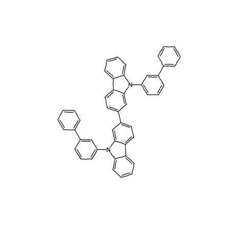 c1ccc(-c2cccc(-n3c4ccccc4c4ccc(-c5ccc6c7ccccc7n(-c7cccc(-c8ccccc8)c7)c6c5)cc43)c2)cc1